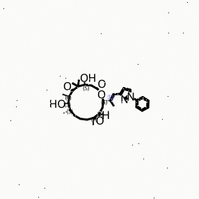 C/C(=C\c1ccn(-c2ccccc2)n1)[C@@H]1C[C@@H]2O[C@]2(C)CCC[C@H](C)[C@H](O)[C@@H](C)C(=O)C(C)(C)[C@@H](O)CC(=O)O1